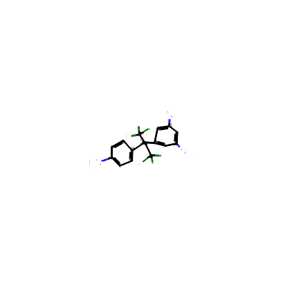 Nc1ccc(C(c2cc(N)cc(N)c2)(C(F)(F)F)C(F)(F)F)cc1